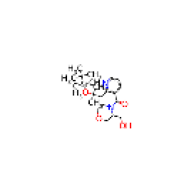 CC(C)(Cc1ncccc1C(=O)N1CCOCC1CO)O[Si](C)(C)C(C)(C)C